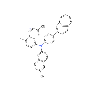 C=C(C#N)/C=C\c1cc(N(c2ccc(C3=CC4C=CC=CC(=C4)C=C3)cc2)c2ccc3cc(C#N)ccc3c2)ccc1C